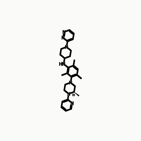 Cc1cc(C)c(N2CCN(c3ccccn3)[C@@H](C)C2)c(C)c1NC1CCN(c2cccnn2)CC1